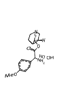 COc1ccc(C(N)C(=O)O[C@H]2CN3CCC2CC3)cc1.Cl.Cl